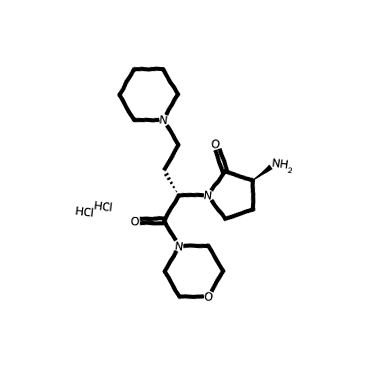 Cl.Cl.N[C@H]1CCN([C@@H](CCN2CCCCC2)C(=O)N2CCOCC2)C1=O